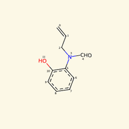 C=CCN(C=O)c1ccccc1O